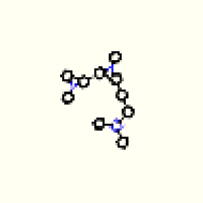 c1ccc(-c2nc(-c3ccccc3)nc(-c3cccc(-c4ccc(-c5ccc6c(c5)c5cc(-c7ccc8c(c7)c7ccccc7n8-c7ccccc7)ccc5n6-c5ccccc5)cc4)c3)n2)cc1